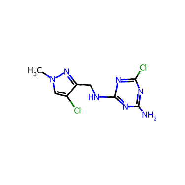 Cn1cc(Cl)c(CNc2nc(N)nc(Cl)n2)n1